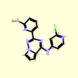 COc1cccc(-c2nc(Nc3ccnc(Cl)c3)c3cccn3n2)n1